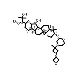 CCO[C@@H](C1C[C@@H](C)[C@H]2C(O1)[C@H](O)[C@@]1(C)C3CC[C@H]4C(C)(C)[C@@H](O[C@H]5CN(C6(C)CN(C7COC7)C6)CCO5)CC[C@@]45C[C@@]35CC[C@]21C)C(C)(C)O